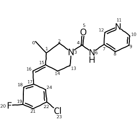 CC1CN(C(=O)Nc2cccnc2)CCC1=Cc1cc(F)cc(Cl)c1